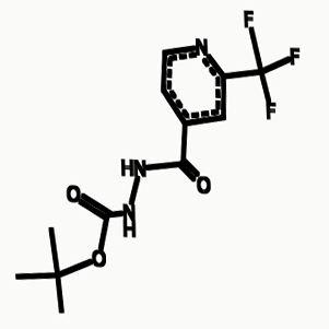 CC(C)(C)OC(=O)NNC(=O)c1ccnc(C(F)(F)F)c1